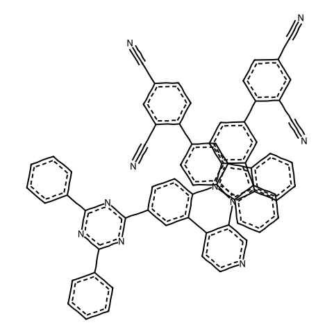 N#Cc1ccc(-c2ccc3c(c2)c2ccccc2n3-c2ccc(-c3nc(-c4ccccc4)nc(-c4ccccc4)n3)cc2-c2ccncc2-n2c3ccccc3c3cc(-c4ccc(C#N)cc4C#N)ccc32)c(C#N)c1